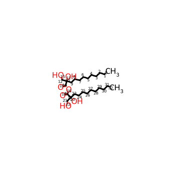 CCCCCCCCCCC(O)(CO)C(=O)OC(=O)C(O)(CO)CCCCCCCCCC